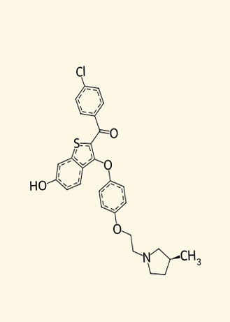 C[C@H]1CCN(CCOc2ccc(Oc3c(C(=O)c4ccc(Cl)cc4)sc4cc(O)ccc34)cc2)C1